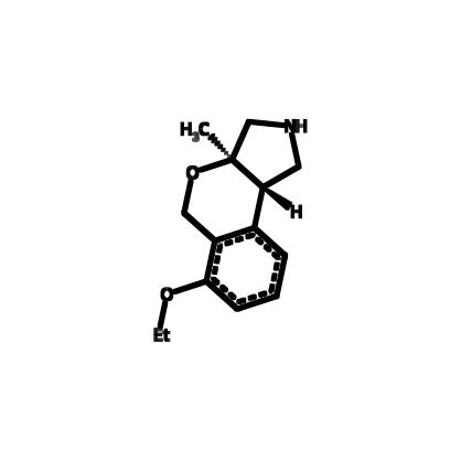 CCOc1cccc2c1CO[C@@]1(C)CNC[C@H]21